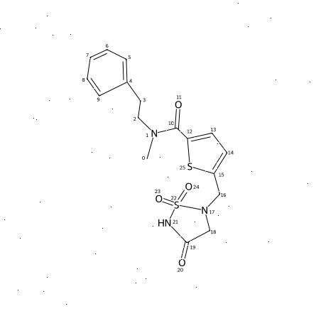 CN(CCc1ccccc1)C(=O)c1ccc(CN2CC(=O)NS2(=O)=O)s1